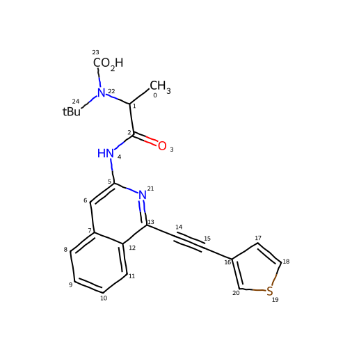 CC(C(=O)Nc1cc2ccccc2c(C#Cc2ccsc2)n1)N(C(=O)O)C(C)(C)C